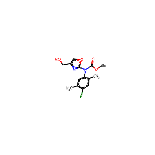 Cc1cc(N(C(=O)OC(C)(C)C)c2nc(CO)co2)c(C)cc1F